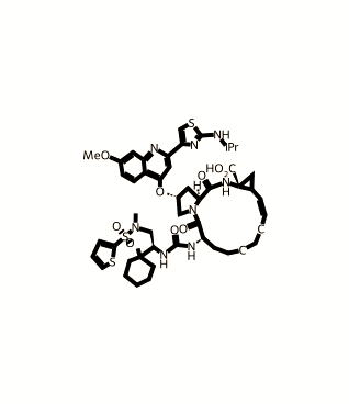 COc1ccc2c(O[C@@H]3C[C@H]4C(=O)N[C@]5(C(=O)O)CC5/C=C\CCCCC[C@H](NC(=O)N[C@H](CN(C)S(=O)(=O)c5cccs5)C5(C)CCCCC5)C(=O)N4C3)cc(-c3csc(NC(C)C)n3)nc2c1